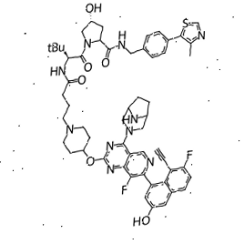 C#Cc1c(F)ccc2cc(O)cc(-c3ncc4c(N5CC6CCC(C5)N6)nc(OC5CCN(CCCC(=O)N[C@H](C(=O)N6C[C@H](O)CC6C(=O)NCc6ccc(-c7scnc7C)cc6)C(C)(C)C)CC5)nc4c3F)c12